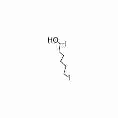 OC(I)CCCCCI